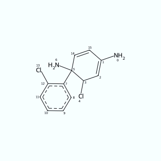 NC1=CC(Cl)C(N)(c2ccccc2Cl)C=C1